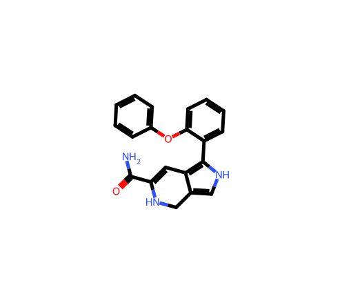 NC(=O)C1=Cc2c(c[nH]c2-c2ccccc2Oc2ccccc2)CN1